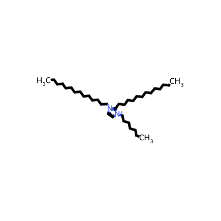 CCCCCCCCCCCCCCn1cc[n+](CCCCCCC)c1CCCCCCCCCCCCC